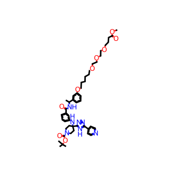 COC(=O)CCCOCCOCCOCCCCCCOc1cccc(C(C)NC(=O)c2cccc(NC3(c4nnc(-c5ccncc5)[nH]4)CCN(C(=O)OC(C)(C)C)CC3)c2)c1